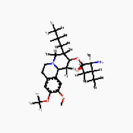 [2H]C([2H])([2H])Oc1cc2c(cc1OC)C1N(CC2)C([2H])([2H])C([2H])(C([2H])([2H])C([2H])(C)C([2H])([2H])[2H])C(OC(=O)[C@@]([2H])(N)C([2H])(C([2H])([2H])[2H])C([2H])([2H])[2H])C1([2H])[2H]